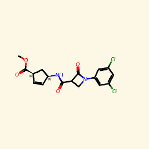 COC(=O)[C@@H]1C=C[C@H](NC(=O)C2CN(c3cc(Cl)cc(Cl)c3)C2=O)C1